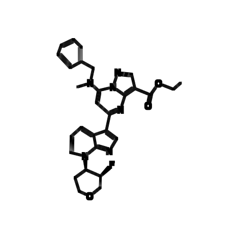 CCOC(=O)c1cnn2c(N(C)Cc3ccccc3)cc(-c3cnc4n([C@@H]5CCOC[C@@H]5F)cccc3-4)nc12